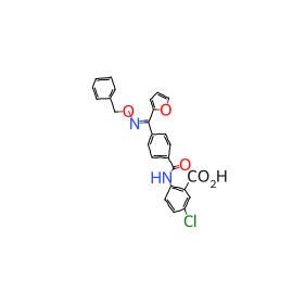 O=C(Nc1ccc(Cl)cc1C(=O)O)c1ccc(C(=NOCc2ccccc2)c2ccco2)cc1